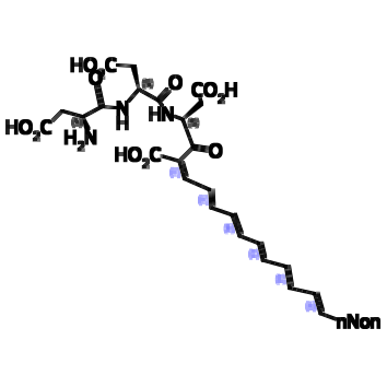 CCCCCCCCC/C=C/C=C/C=C/C=C/C=C/C=C(/C(=O)O)C(=O)[C@H](CC(=O)O)NC(=O)[C@H](CC(=O)O)NC(=O)[C@@H](N)CC(=O)O